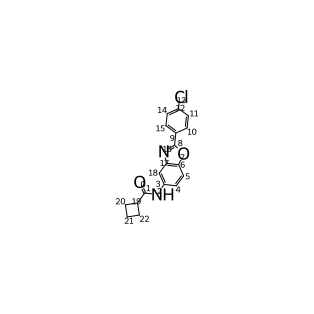 O=C(Nc1ccc2oc(-c3ccc(Cl)cc3)nc2c1)C1CCC1